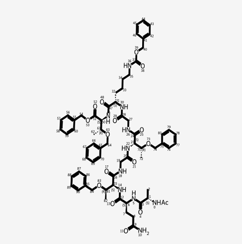 CC(=O)N[C@@H](C)C(=O)N[C@@H](CCC(N)=O)C(=O)N[C@H](C(=O)NCC(=O)N[C@H](C(=O)NCC(=O)N[C@@H](CCCCNC(=O)OCc1ccccc1)C(=O)N[C@H](C(=O)OCc1ccccc1)[C@@H](C)OCc1ccccc1)[C@@H](C)OCc1ccccc1)[C@@H](C)OCc1ccccc1